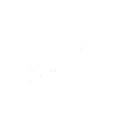 COc1cc(Cc2cc3c(Cc4cnc(N)nc4N)cc(OC)c(OC)c3o2)ccc1NC(C)=O